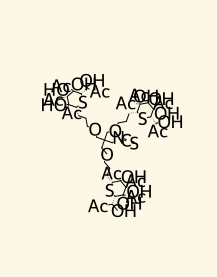 CC(=O)C(O)[C@@H]1S[C@H](CCCOCC(CN=C=S)(COCCC[C@H]2S[C@@H](C(O)C(C)=O)[C@](O)(C(C)=O)[C@@](O)(C(C)=O)[C@@]2(O)C(C)=O)COCCC[C@H]2S[C@@H](C(O)C(C)=O)[C@](O)(C(C)=O)[C@@](O)(C(C)=O)[C@@]2(O)C(C)=O)[C@](O)(C(C)=O)[C@](O)(C(C)=O)[C@@]1(O)C(C)=O